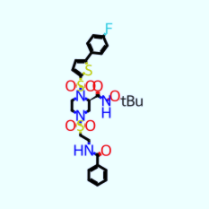 CC(C)(C)ONC(=O)[C@H]1CN(S(=O)(=O)CCNC(=O)c2ccccc2)CCN1S(=O)(=O)c1ccc(-c2ccc(F)cc2)s1